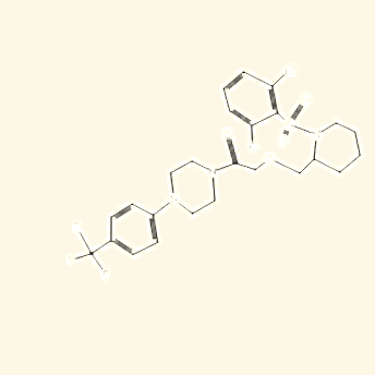 O=C(COCC1CCCCN1S(=O)(=O)c1c(Cl)cccc1Cl)N1CCN(c2ccc(C(F)(F)F)cc2)CC1